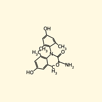 Cc1cc(O)cc(C)c1N(C(=O)C(N)=O)c1c(C)cc(O)cc1C